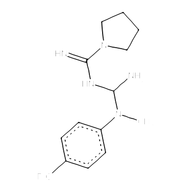 CN(c1ccc(C(F)(F)F)cc1)C(N)NC(=N)N1CCCC1